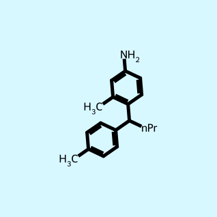 CCCC(c1ccc(C)cc1)c1ccc(N)cc1C